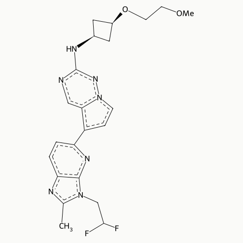 COCCO[C@H]1C[C@@H](Nc2ncc3c(-c4ccc5nc(C)n(CC(F)F)c5n4)ccn3n2)C1